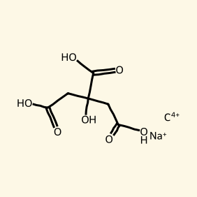 O=C(O)CC(O)(CC(=O)O)C(=O)O.[C+4].[Na+]